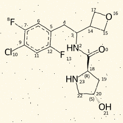 O=C(NC(Cc1cc(F)c(Cl)cc1F)C1COC1)[C@H]1C[C@H](O)CN1